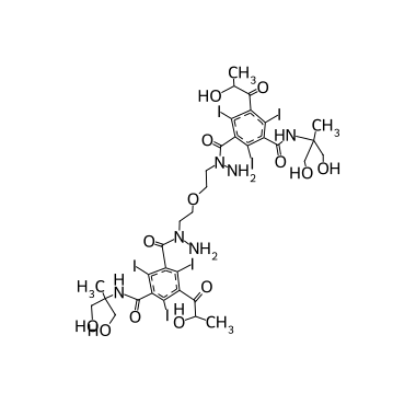 CC(O)C(=O)c1c(I)c(C(=O)NC(C)(CO)CO)c(I)c(C(=O)N(N)CCOCCN(N)C(=O)c2c(I)c(C(=O)NC(C)(CO)CO)c(I)c(C(=O)C(C)O)c2I)c1I